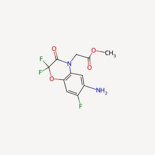 COC(=O)CN1C(=O)C(F)(F)Oc2cc(F)c(N)cc21